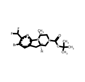 C[C@@H]1CN(C(=O)OC(C)(C)C)C[C@H]2Cc3cc(Br)c(C(F)F)nc3N21